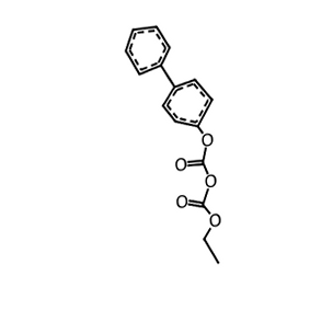 CCOC(=O)OC(=O)Oc1ccc(-c2ccccc2)cc1